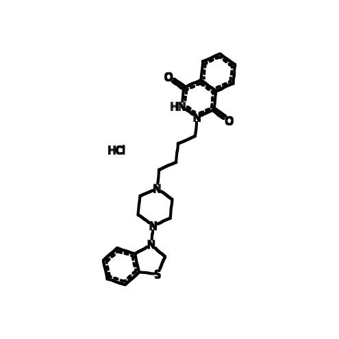 Cl.O=c1[nH]n(CCCCN2CCN(N3CSc4ccccc43)CC2)c(=O)c2ccccc12